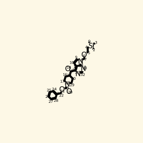 C[Si](C)(C)CCOCn1ccc2c(C(=O)C3CCN(C(=O)OCc4ccccc4)CC3)ncnc21